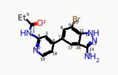 CCC(=O)Nc1cc(-c2cc(Br)c3[nH]nc(N)c3c2)ccn1